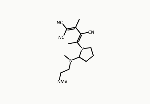 CNCCN(C)C1CCCN1/C(C)=C(\C#N)C(C)=C(C#N)C#N